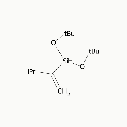 C=C(C(C)C)[SiH](OC(C)(C)C)OC(C)(C)C